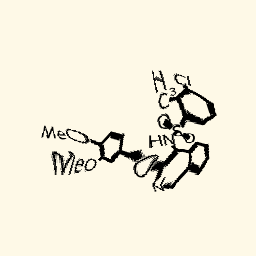 COc1ccc(COc2ncc3ccccc3c2NS(=O)(=O)c2cccc(Cl)c2C)cc1OC